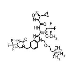 CO[C@H](CC(F)(F)F)[C@H](NC(=O)c1nonc1C1CC1)c1nc2cc(CN3C[C@@H](C(F)(F)F)NC3=O)ccc2n1COCC[Si](C)(C)C